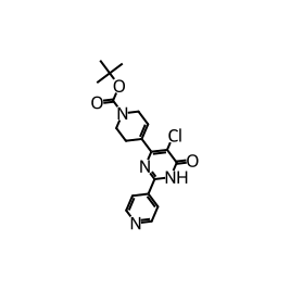 CC(C)(C)OC(=O)N1CC=C(c2nc(-c3ccncc3)[nH]c(=O)c2Cl)CC1